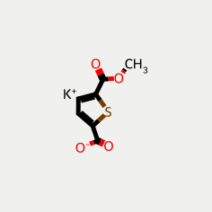 COC(=O)c1ccc(C(=O)[O-])s1.[K+]